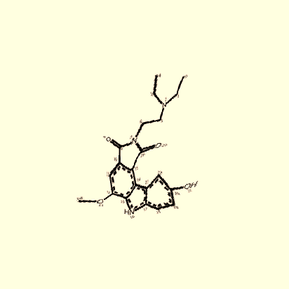 CCN(CC)CCN1C(=O)c2cc(OC)c3[nH]c4ccc(O)cc4c3c2C1=O